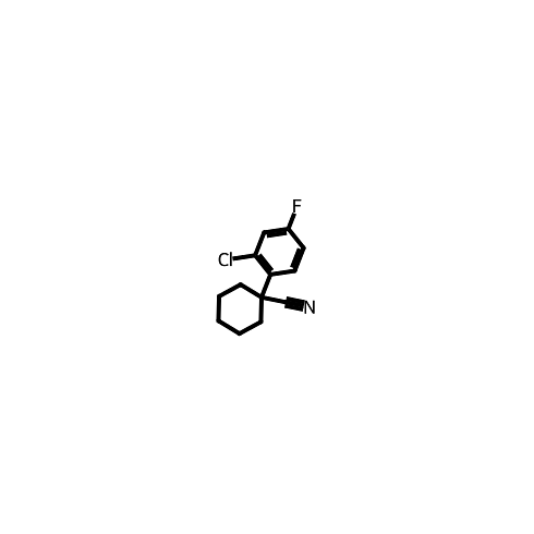 N#CC1(c2ccc(F)cc2Cl)CCCCC1